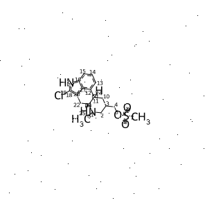 CN1CC(COS(C)(=O)=O)C[C@@H]2c3cccc4[nH]c(Cl)c(c34)C[C@H]21